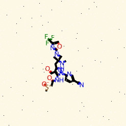 CNC1(Cc2nn(-c3ccc(C#N)cn3)c(NC(=O)C[S+](C)[O-])c2C=O)CN(c2nc(C(F)(F)F)co2)C1